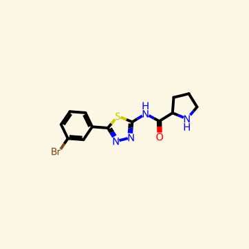 O=C(Nc1nnc(-c2cccc(Br)c2)s1)C1CCCN1